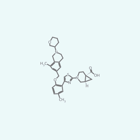 Cc1ccc(OCc2cc(C)c3c(c2)CCN(C2CCCOC2)C3)c(-c2csc(N3CC[C@@]4(C(=O)O)C[C@H]4C3)n2)c1